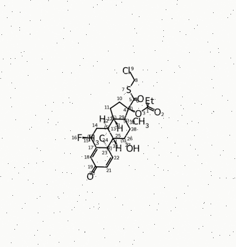 CCC(=O)O[C@]1(C(=O)SCCl)CC[C@H]2[C@@H]3C[C@H](F)C4=CC(=O)C=C[C@]4(C)[C@H]3[C@@H](O)C[C@@]21C